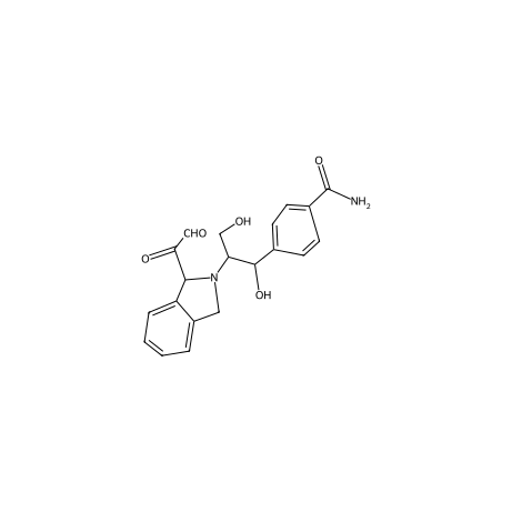 NC(=O)c1ccc(C(O)C(CO)N2Cc3ccccc3C2C(=O)C=O)cc1